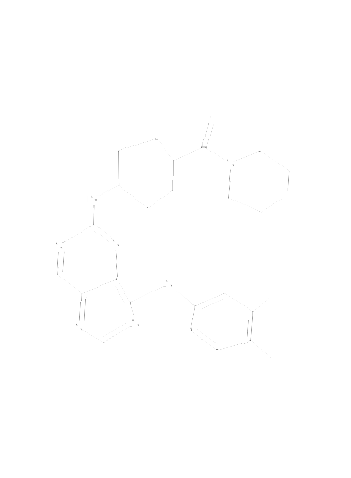 O=C(C1CCC(Nc2ncc3ncnc(Nc4ccc(F)c(Cl)c4)c3n2)CC1)N1CCOCC1